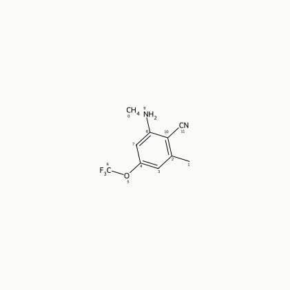 C.Cc1cc(OC(F)(F)F)cc(N)c1C#N